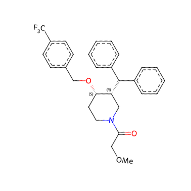 COCC(=O)N1CC[C@H](OCc2ccc(C(F)(F)F)cc2)[C@H](C(c2ccccc2)c2ccccc2)C1